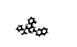 CC(C)N(C(=O)c1cnc(N2CCC3CCCCC3C2)nc1C1=C(F)CCCC1)C1CCSC1